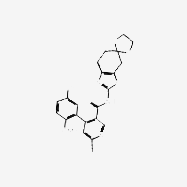 COc1ccc(C#N)cc1-c1cc(C)ncc1C(=O)Nc1nc2c(s1)CC1(CC2)OCCO1